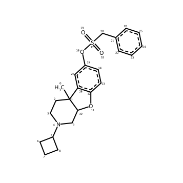 CC12CCN(C3CCC3)CC1Oc1ccc(OS(=O)(=O)Cc3ccccc3)cc12